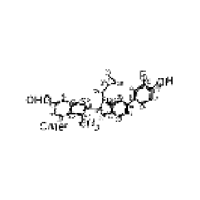 COc1cc(C=O)cc2sc(-c3cc4ccc(-c5ccc(O)c(F)c5)cc4n3CC3CC3)c(C)c12